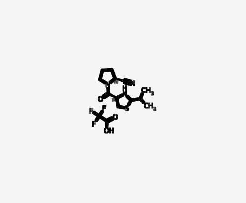 CC(C)C1N[C@H](C(=O)N2CCC[C@H]2C#N)CS1.O=C(O)C(F)(F)F